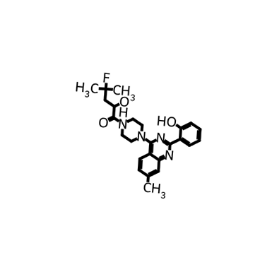 Cc1ccc2c(N3CCN(C(=O)C(O)CC(C)(C)F)CC3)nc(-c3ccccc3O)nc2c1